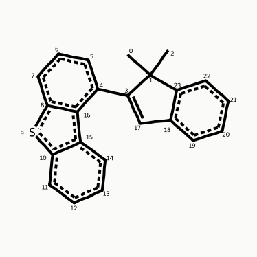 CC1(C)C(c2cccc3sc4ccccc4c23)=Cc2ccccc21